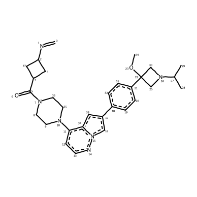 C=NC1CC(C(=O)N2CCN(c3ccnn4cc(-c5ccc(C6(OC)CN(C(C)C)C6)cc5)cc34)CC2)C1